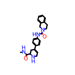 CNC(=O)C1CC(c2ccc(NC(=O)N3CCc4ccccc4C3)cc2)=CCN1